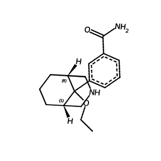 CCOC1(c2cccc(C(N)=O)c2)[C@@H]2CCC[C@H]1CNC2